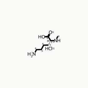 CN[C@H](CCCCN)C(=O)O.Cl